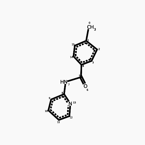 Cc1ccc(C(=O)Nc2ccccn2)cc1